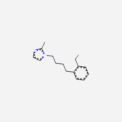 Cc1nccn1CCCCc1ccccc1C[C]=O